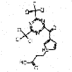 O=C(O)CC[SH]1C=CC(C(=O)c2nc(C(Cl)(Cl)Cl)nc(C(Cl)(Cl)Cl)n2)=C1